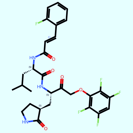 CC(C)C[C@H](NC(=O)/C=C/c1ccccc1F)C(=O)N[C@@H](C[C@@H]1CCNC1=O)C(=O)COc1c(F)c(F)cc(F)c1F